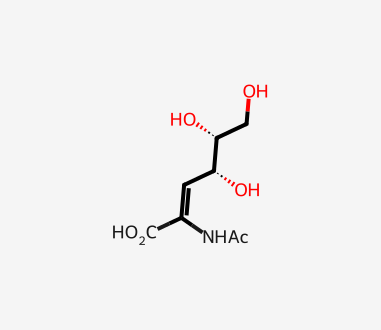 CC(=O)N/C(=C\[C@@H](O)[C@H](O)CO)C(=O)O